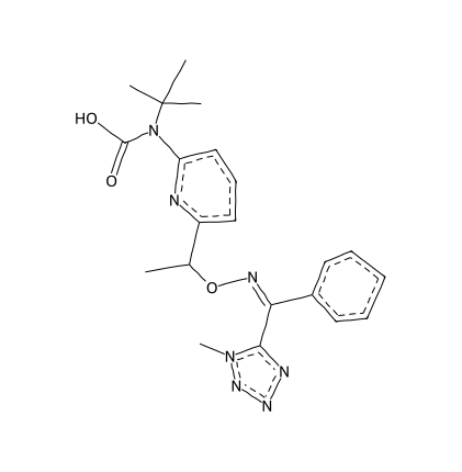 CC(O/N=C(/c1ccccc1)c1nnnn1C)c1cccc(N(C(=O)O)C(C)(C)C)n1